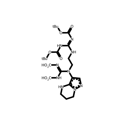 CC(C)(C)OC(=O)N=C(NCCN(C(=NC(=O)O)NC(=O)O)c1cnn2c1NCCC2)NC(=O)OC(C)(C)C